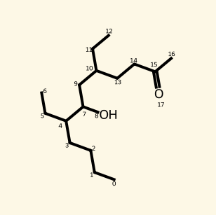 CCCCC(CC)C(O)CC(CC)CCC(C)=O